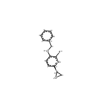 Fc1nc([C@H]2CO2)ccc1OCc1ccccc1